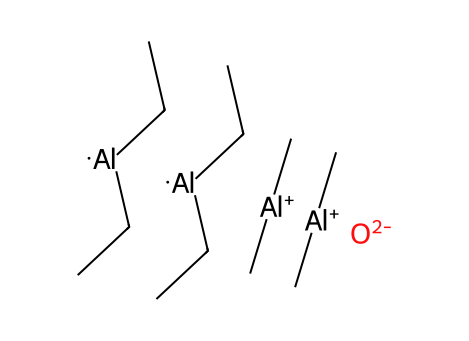 C[CH2][Al][CH2]C.C[CH2][Al][CH2]C.[CH3][Al+][CH3].[CH3][Al+][CH3].[O-2]